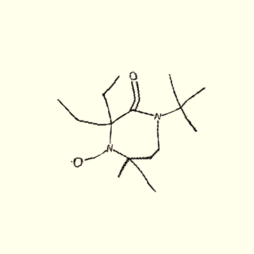 CCC1(CC)C(=O)N(C(C)(C)C)CC(C)(C)N1[O]